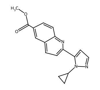 COC(=O)c1ccc2nc(-c3ccnn3C3CC3)ccc2c1